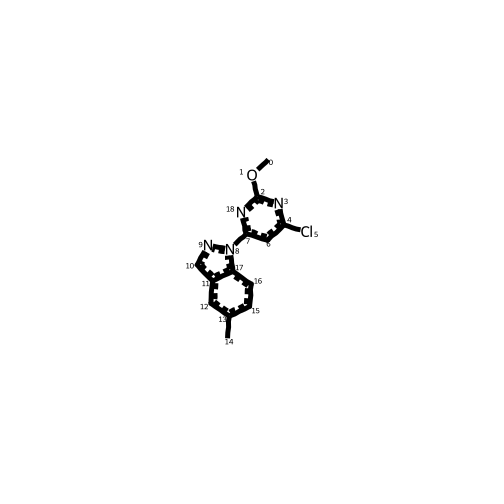 COc1nc(Cl)cc(-n2ncc3cc(C)ccc32)n1